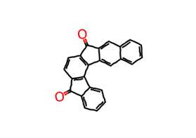 O=c1c2ccccc2c2c1ccc1c(=O)c3cc4ccccc4cc3c12